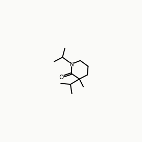 CC(C)N1CCCC(C)(C(C)C)C1=O